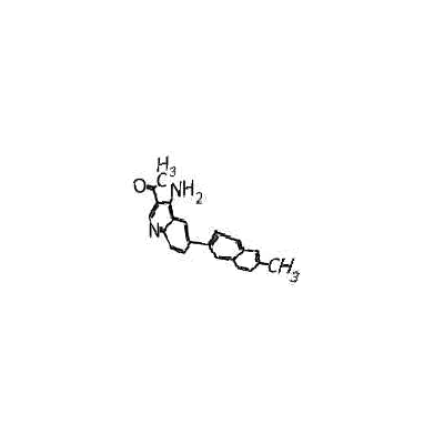 CC(=O)c1cnc2ccc(-c3ccc4cc(C)ccc4c3)cc2c1N